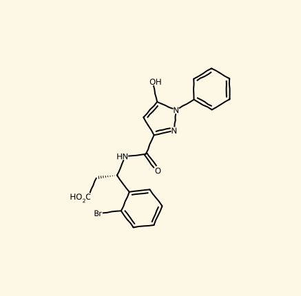 O=C(O)C[C@H](NC(=O)c1cc(O)n(-c2ccccc2)n1)c1ccccc1Br